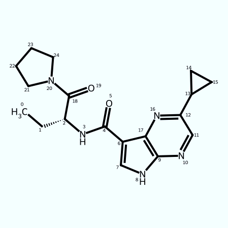 CC[C@@H](NC(=O)c1c[nH]c2ncc(C3CC3)nc12)C(=O)N1CCCC1